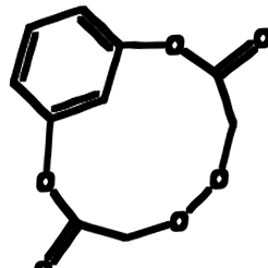 O=C1COOCC(=O)Oc2cccc(c2)O1